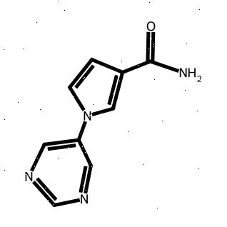 NC(=O)c1ccn(-c2cncnc2)c1